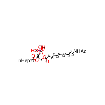 CCCCCCCC(=O)O[C@H](COC(=O)CCCCCCCCCCNC(C)=O)COP(=O)(O)O